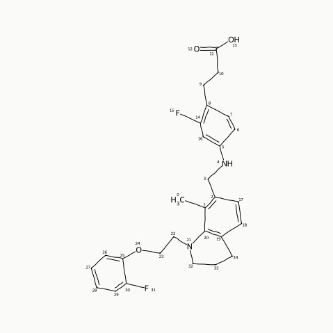 Cc1c(CNc2ccc(CCC(=O)O)c(F)c2)ccc2c1N(CCOc1ccccc1F)CCC2